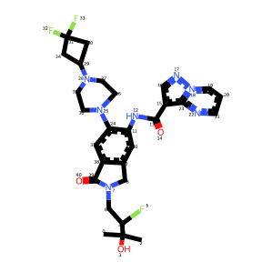 CC(C)(O)C(F)CN1Cc2cc(NC(=O)c3cnn4cccnc34)c(N3CCN(C4CC(F)(F)C4)CC3)cc2C1=O